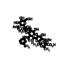 Bc1cccc(NC(=O)C2O[C@@H](O[C@@H]3C(CO)O[C@@H](C(C)(C)O[C@@H](C)C(O)C(=O)O)C(NC(C)=O)C3O)C(O)C(O)[C@@H]2OC(C)(C)C(C)(C)[C@@H]2OC(CO)[C@@H](O)C(O)C2NC(C)=O)c1